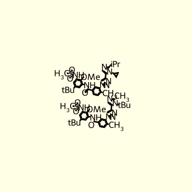 COc1c(NC(=O)c2ccc(C)c(-n3cc(-c4cnc(C(C)C)n4C4CC4)nn3)c2)cc(C(C)(C)C)cc1NS(C)(=O)=O.COc1c(NC(=O)c2ccc(C)c(-n3cc(-c4cnc(C)n4C(C)(C)C)nn3)c2)cc(C(C)(C)C)cc1NS(C)(=O)=O